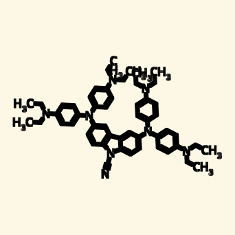 CCN(CC)c1ccc(N(c2ccc(N(CC)CC)cc2)c2ccc3c(c2)c2cc(N(c4ccc(N(CC)CC)cc4)c4ccc(N(CC)CC)cc4)ccc2n3C#N)cc1